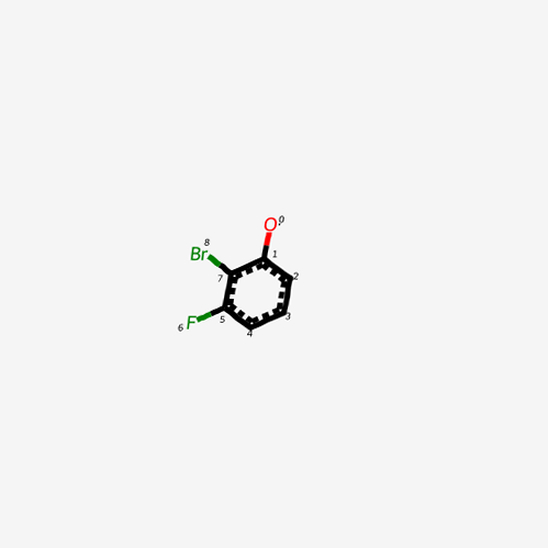 [O]c1cccc(F)c1Br